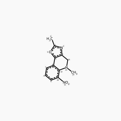 Cc1nc2c(o1)-c1cccc([N+](=O)[O-])c1N(C)C2